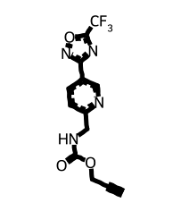 C#CCOC(=O)NCc1ccc(-c2noc(C(F)(F)F)n2)cn1